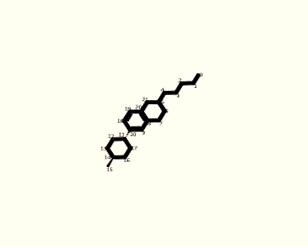 CCCCCC1CCc2cc([C@H]3CC[C@H](C)CC3)ccc2C1